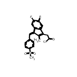 CC1=C(CC(=O)Cl)c2cc(F)c(F)cc2/C1=C/c1ccc(S(C)(=O)=O)cc1